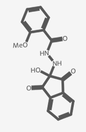 COc1ccccc1C(=O)NNC1(O)C(=O)c2ccccc2C1=O